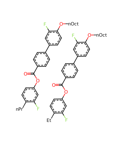 CCCCCCCCOc1ccc(-c2ccc(C(=O)Oc3ccc(CC)c(F)c3)cc2)cc1F.CCCCCCCCOc1ccc(-c2ccc(C(=O)Oc3ccc(CCC)c(F)c3)cc2)cc1F